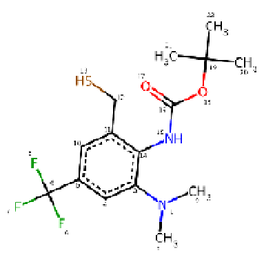 CN(C)c1cc(C(F)(F)F)cc(CS)c1NC(=O)OC(C)(C)C